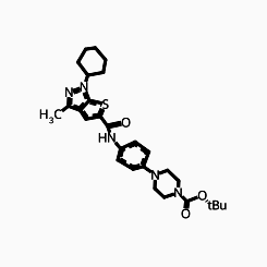 Cc1nn(C2CCCCC2)c2sc(C(=O)Nc3ccc(N4CCN(C(=O)OC(C)(C)C)CC4)cc3)cc12